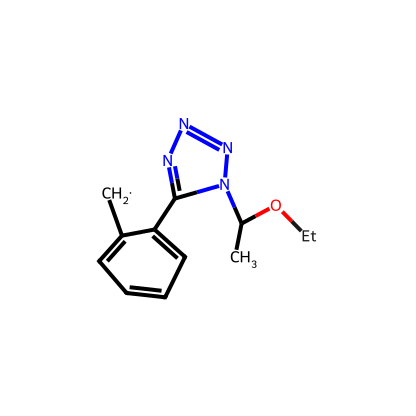 [CH2]c1ccccc1-c1nnnn1C(C)OCC